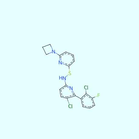 Fc1cccc(-c2nc(NSc3cccc(N4CCC4)n3)ccc2Cl)c1Cl